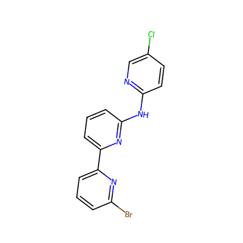 Clc1ccc(Nc2cccc(-c3cccc(Br)n3)n2)nc1